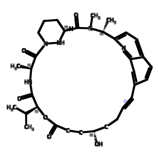 CC(C)[C@@H]1OC(=O)CC[C@@H](O)CC/C=C/c2ccc3ccc(nc3c2)[C@@H](C)N(C)C(=O)[C@@H]2CCCN(N2)C(=O)[C@H](C)NC1=O